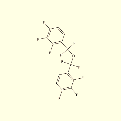 Fc1ccc(C(F)(F)OC(F)(F)c2ccc(F)c(F)c2F)c(F)c1F